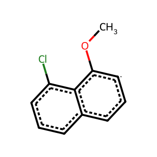 COc1[c]ccc2cccc(Cl)c12